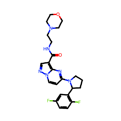 O=C(NCCN1CCOCC1)c1cnn2ccc(N3CCCC3c3cc(F)ccc3F)nc12